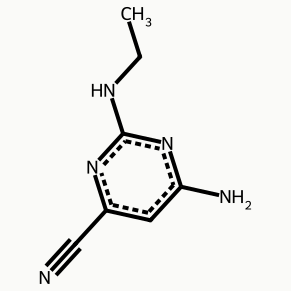 CCNc1nc(N)cc(C#N)n1